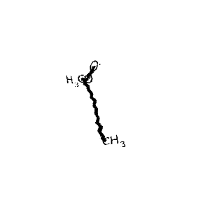 CCCCCCCCCCCCCCCCC(C)OCC[O]